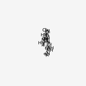 Cn1ccnc1CNC(=O)NC1CCC(Nc2cc(NC3CC3)c3ncc(C(=O)Nc4ccnc(Cl)c4)n3n2)CC1